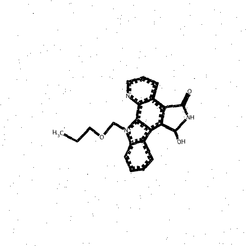 CCCOCn1c2ccccc2c2c3c(c4cccnc4c21)C(=O)NC3O